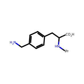 CC(C)NC(Cc1ccc(CN)cc1)C(=O)O